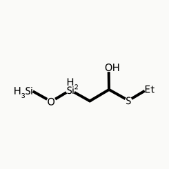 CCSC(O)C[SiH2]O[SiH3]